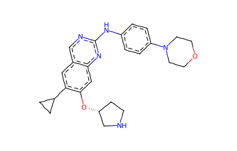 c1cc(N2CCOCC2)ccc1Nc1ncc2cc(C3CC3)c(O[C@@H]3CCNC3)cc2n1